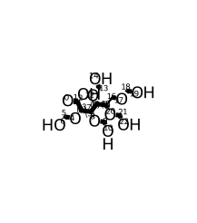 O=C(O)[C@H](OCO)[C@@H](OCO)[C@H](OCO)[C@@H](COCO)OCO